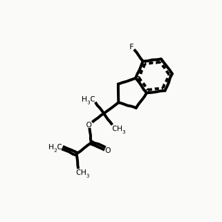 C=C(C)C(=O)OC(C)(C)C1Cc2cccc(F)c2C1